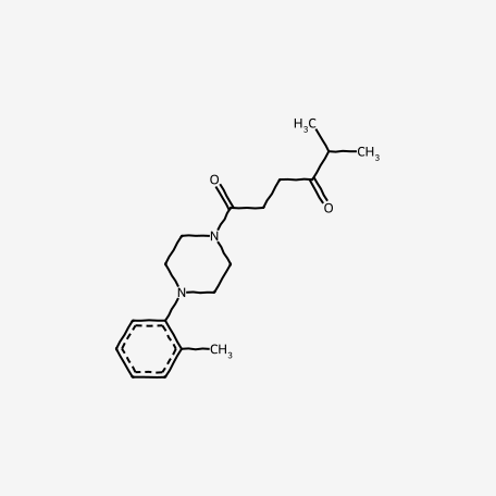 Cc1ccccc1N1CCN(C(=O)CCC(=O)C(C)C)CC1